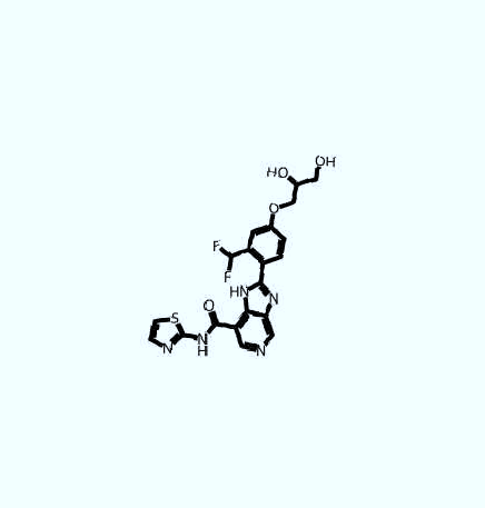 O=C(Nc1nccs1)c1cncc2nc(-c3ccc(OCC(O)CO)cc3C(F)F)[nH]c12